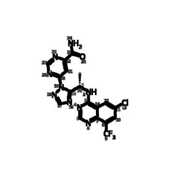 C[C@H](Nc1ncnc2c(C(F)(F)F)cc(Cl)cc12)c1ncnn1-c1cc(C(N)=O)ncn1